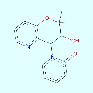 CC1(C)Oc2cccnc2C(n2ccccc2=O)C1O